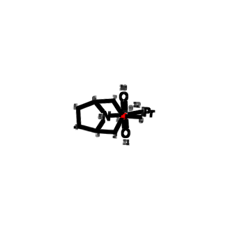 CC1CC2CCC(C1)N2S(=O)(=O)C(C)C